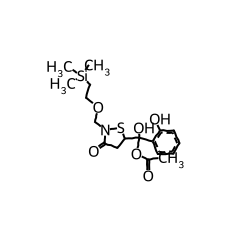 CC(=O)OC(O)(c1ccccc1O)C1CC(=O)N(COCC[Si](C)(C)C)S1